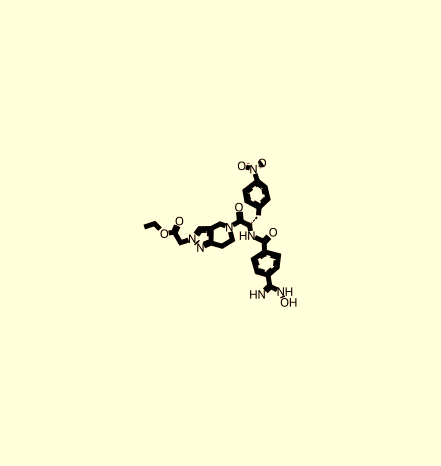 CCOC(=O)Cn1cc2c(n1)CCN(C(=O)[C@H](Cc1ccc([N+](=O)[O-])cc1)NC(=O)c1ccc(C(=N)NO)cc1)C2